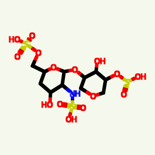 O=S(O)OC1COCC(OC2OC(COS(=O)(=O)O)CC(O)C2NS(=O)(=O)O)C1O